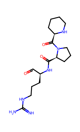 N=C(N)NCCC[C@@H](C=O)NC(=O)[C@@H]1CCCN1C(=O)[C@H]1CCCCN1